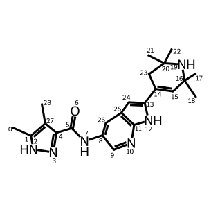 Cc1[nH]nc(C(=O)Nc2cnc3[nH]c(C4=CC(C)(C)NC(C)(C)C4)cc3c2)c1C